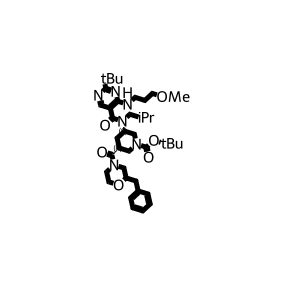 COCCCNc1nc(C(C)(C)C)ncc1C(=O)N(CC(C)C)[C@H]1C[C@@H](C(=O)N2CCOC(Cc3ccccc3)C2)CN(C(=O)OC(C)(C)C)C1